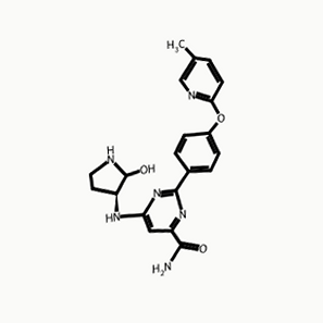 Cc1ccc(Oc2ccc(-c3nc(N[C@H]4CCNC4O)cc(C(N)=O)n3)cc2)nc1